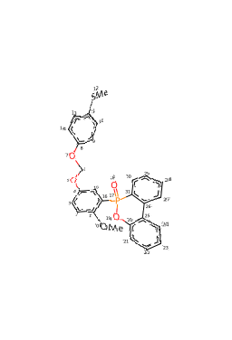 COc1ccc(OCOc2ccc(SC)cc2)cc1P1(=O)Oc2ccccc2-c2ccccc21